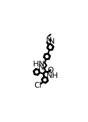 CCn1cc2cc(-c3ccc(C4CC(c5c(-c6ccccc6)c6cc(Cl)ccc6[nH]c5=O)=NN4)cc3)ccc2n1